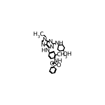 CCn1cnc2c(Nc3ccc(NS(=O)(=O)c4ccccc4)c(C)c3)nc(NC3CCC(O)CC3)nc21